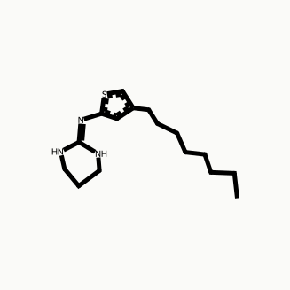 CCCCCCCCc1csc(N=C2NCCCN2)c1